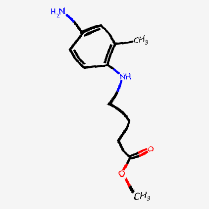 COC(=O)CCCNc1ccc(N)cc1C